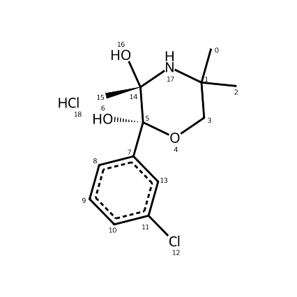 CC1(C)CO[C@@](O)(c2cccc(Cl)c2)[C@](C)(O)N1.Cl